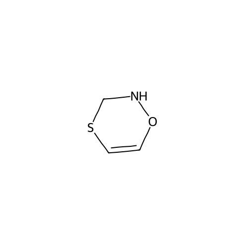 C1=CSCNO1